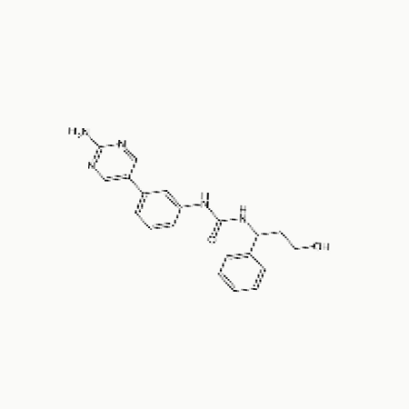 Nc1ncc(-c2cccc(NC(=O)NC(CCO)c3ccccc3)c2)cn1